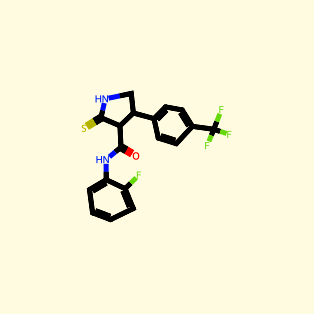 O=C(Nc1ccccc1F)C1C(=S)NCC1c1ccc(C(F)(F)F)cc1